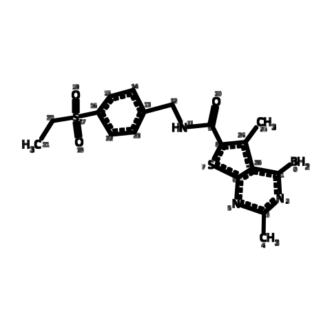 Bc1nc(C)nc2sc(C(=O)NCc3ccc(S(=O)(=O)CC)cc3)c(C)c12